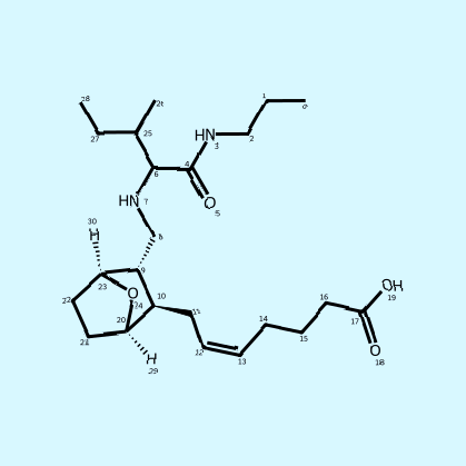 CCCNC(=O)C(NC[C@@H]1[C@@H](C/C=C\CCCC(=O)O)[C@H]2CC[C@@H]1O2)C(C)CC